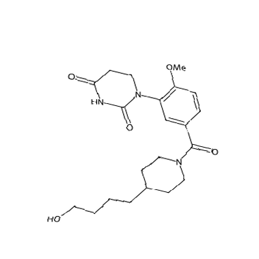 COc1ccc(C(=O)N2CCC(CCCCO)CC2)cc1N1CCC(=O)NC1=O